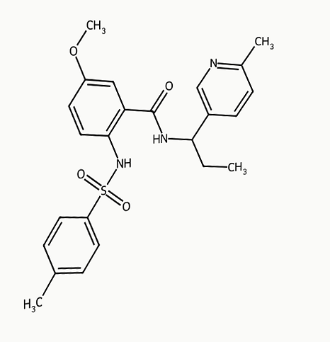 CCC(NC(=O)c1cc(OC)ccc1NS(=O)(=O)c1ccc(C)cc1)c1ccc(C)nc1